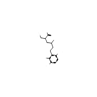 CC(CCc1c(O)ccc(O)c1O)CC(CN)C(=O)O